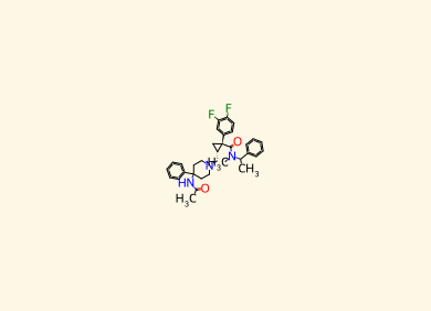 CC(=O)NC1(c2ccccc2)CCN(C[C@@H]2C[C@@]2(C(=O)N(C)C(C)c2ccccc2)c2ccc(F)c(F)c2)CC1